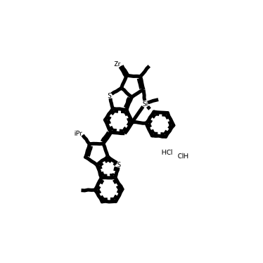 CC1=C2C3=c4c(cc(=C5C(C(C)C)=Cc6c5sc5cccc(C)c65)c(c4-c4ccccc4)[Si]2(C)C)SC3[C]1=[Zr].Cl.Cl